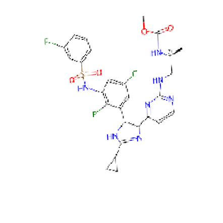 COC(=O)N[C@@H](C)CNc1nccc(C2N=C(C3CC3)NC2c2cc(Cl)cc(NS(=O)(=O)c3cccc(F)c3)c2F)n1